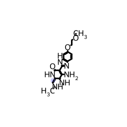 CN/C=C1/NC(=O)C(c2nc3ccc(OCCOC)cc3[nH]2)=C(N)C1=N